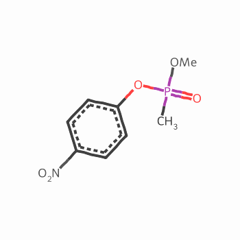 COP(C)(=O)Oc1ccc([N+](=O)[O-])cc1